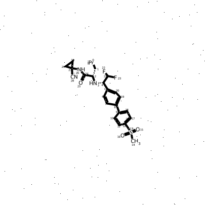 CC(C)C[C@H](N[C@@H](c1ccc(-c2ccc(S(C)(=O)=O)cc2)cc1)C(F)F)C(=O)NC1(C#N)CC1